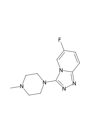 CN1CCN(c2nnc3ccc(F)cn23)CC1